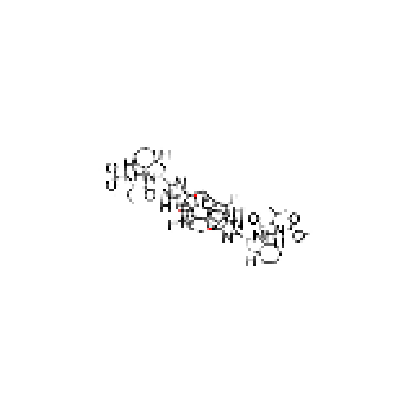 COC(=O)N[C@H](C(=O)N1[C@H](c2nc3cc(-c4cc5cc(F)c4CCc4cc(F)c(c(-c6cc7nc([C@@H]8C[C@@H]9CCCC[C@@H]9N8C(=O)[C@@H](NC(=O)OC)C(C)C)[nH]c7cc6F)c4)CC5)c(F)cc3[nH]2)C[C@@H]2CCCC[C@@H]21)C(C)C